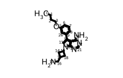 CCCCOc1cccc(-c2cn(C3CC(CN)C3)c3ncnc(N)c23)c1